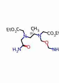 CCOC(=O)CN(CC(N)=O)C[C@H](C)N(COCN)CC(=O)OCC